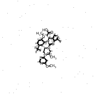 COc1cc(N2CCN(C3=Nc4c(csc4F)[C@@H](CC(=O)O)N3c3cc(C(F)(F)F)ccc3OC)C[C@H]2C)ncn1